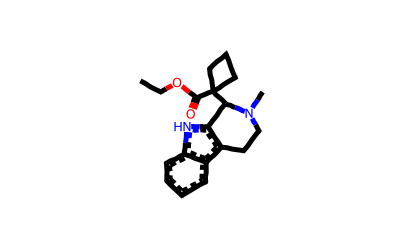 CCOC(=O)C1(C2c3[nH]c4ccccc4c3CCN2C)CCC1